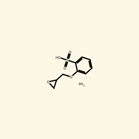 O=S(=O)(O)c1ccccc1OCC1CO1.P